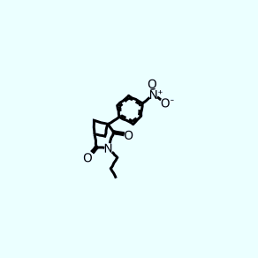 CCCN1C(=O)C2CC(c3ccc([N+](=O)[O-])cc3)(C2)C1=O